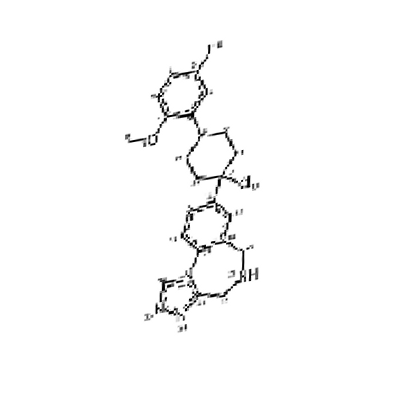 COc1ccc(F)cc1C1CCC(Cl)(c2ccc3c(c2)CNCc2nncn2-3)CC1